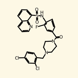 O=C(c1ccc(NS(=O)(=O)c2cccc3cccnc23)c(F)c1)N1CCN(Cc2ccc(Cl)cc2Cl)CC1